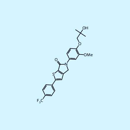 COc1cc(N2Cc3cc(-c4ccc(C(F)(F)F)cc4)sc3C2=O)ccc1OCC(C)(C)O